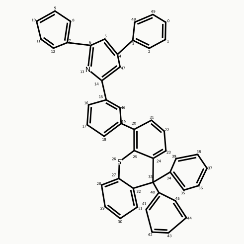 c1ccc(-c2cc(-c3ccccc3)nc(-c3cccc(-c4cccc5c4Sc4ccccc4C5(c4ccccc4)c4ccccc4)c3)c2)cc1